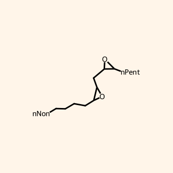 CCCCCCCCCCCCCC1OC1CC1OC1CCCCC